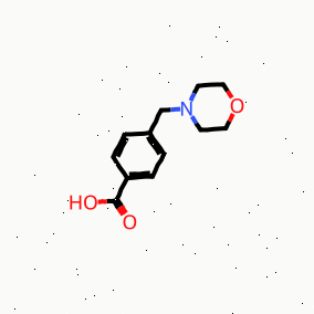 O=C(O)c1ccc(CN2CCOCC2)cc1